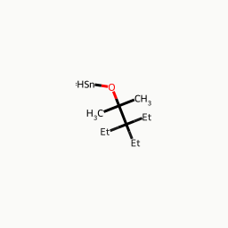 CCC(CC)(CC)C(C)(C)[O][SnH]